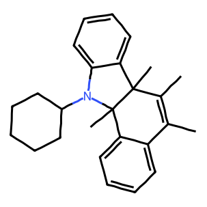 CC1=C(C)C2(C)c3ccccc3N(C3CCCCC3)C2(C)c2ccccc21